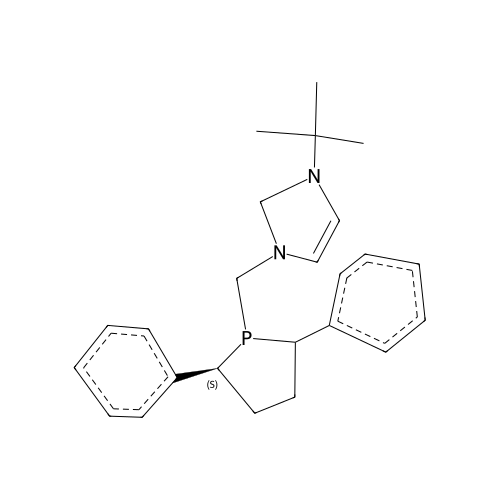 CC(C)(C)N1C=CN(CP2C(c3ccccc3)CC[C@H]2c2ccccc2)C1